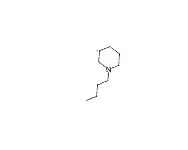 CCCCN1C[CH]CCC1